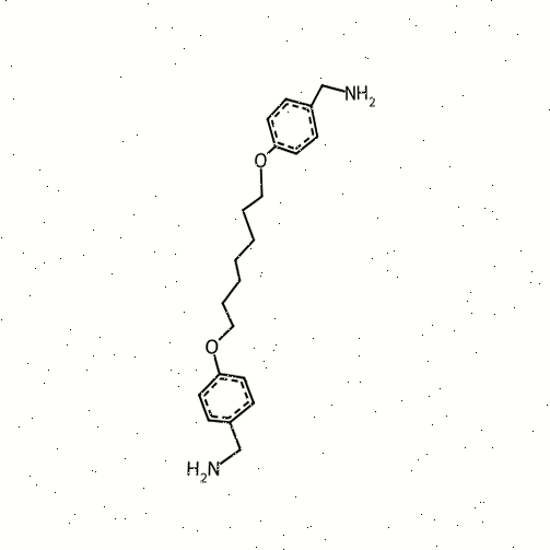 NCc1ccc(OCCCCCCCOc2ccc(CN)cc2)cc1